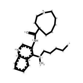 CN(CCCCI)c1c(NC(=O)C2CCCCCCCC2)cnc2ccccc12